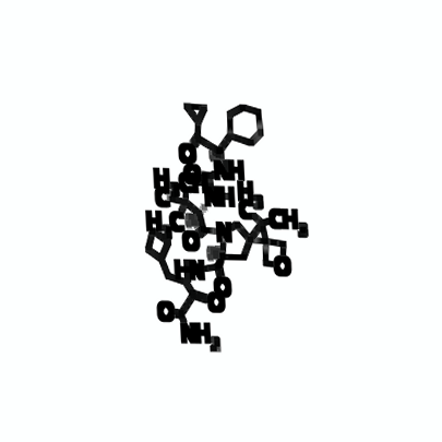 CC(C)(C)[C@H](NC(=O)N[C@H](C(=O)C1CC1)C1CCCCC1)C(=O)N1CC2(C[C@H]1C(=O)NC(CC1CCC1)C(=O)C(N)=O)C(C)(C)C21COC1